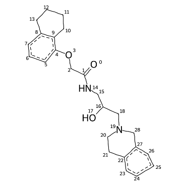 O=C(COc1cccc2c1CCCC2)NCC(O)CN1CCc2ccccc2C1